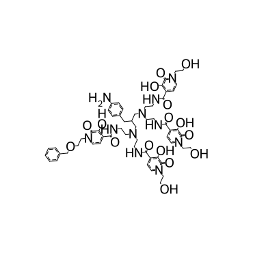 Nc1ccc(CC(CN(CCNC(=O)c2ccn(CCO)c(=O)c2O)CCNC(=O)c2ccn(CCO)c(=O)c2O)CN(CCNC(=O)c2ccn(CCO)c(=O)c2O)CCNC(=O)c2ccn(CCOCc3ccccc3)c(=O)c2O)cc1